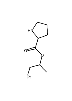 CC(C)CC(C)OC(=O)C1CCCN1